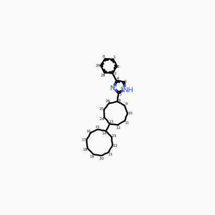 c1ccc(-c2c[nH]c(C3CCCCC(C4CCCCCCCCC4)CCC3)n2)cc1